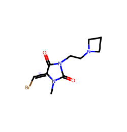 CN1C(=O)N(CCN2CCC2)C(=O)/C1=C/Br